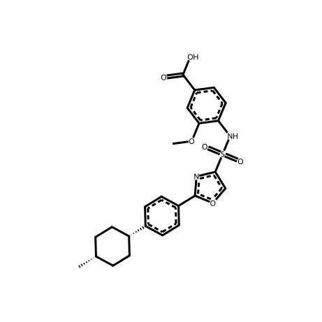 COc1cc(C(=O)O)ccc1NS(=O)(=O)c1coc(-c2ccc([C@H]3CC[C@@H](C)CC3)cc2)n1